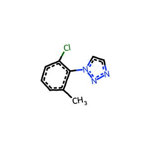 Cc1cccc(Cl)c1-n1ccnn1